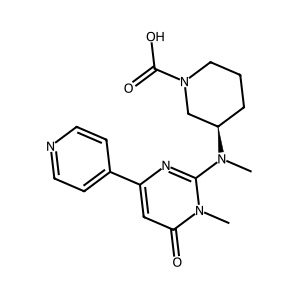 CN(c1nc(-c2ccncc2)cc(=O)n1C)[C@@H]1CCCN(C(=O)O)C1